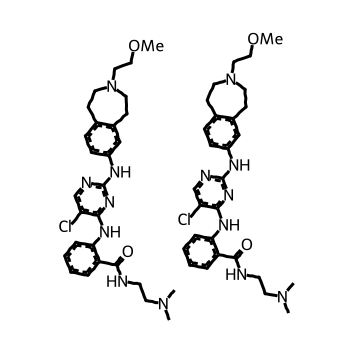 COCCN1CCc2ccc(Nc3ncc(Cl)c(Nc4ccccc4C(=O)NCCN(C)C)n3)cc2CC1.COCCN1CCc2ccc(Nc3ncc(Cl)c(Nc4ccccc4C(=O)NCCN(C)C)n3)cc2CC1